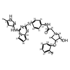 Cc1cc(Nc2nc(Sc3ccc(NC(=O)CN4CC(O)C(Oc5ccccc5F)C4)cc3)nc3cccn23)n[nH]1